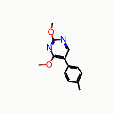 COc1ncc(-c2ccc(C)cc2)c(OC)n1